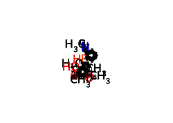 CCC(C)(Pc1ccccc1/C=N/C)c1cc(OC)cc(OC)c1O